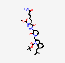 COC(=O)N[C@@H](CC/C=C/C(N)=O)C(=O)Nc1cccn(Cc2cc3cccc(CC(C)C)c3n2C(=O)OC(C)(C)C)c1=O